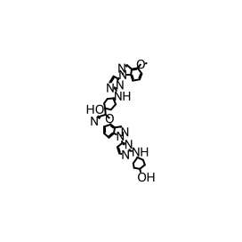 COc1cccc2c1cnn2-c1ccnc(NC2CCC(O)(C(C#N)Oc3cccc4c3cnn4-c3ccnc(NC4CCC(O)CC4)n3)CC2)n1